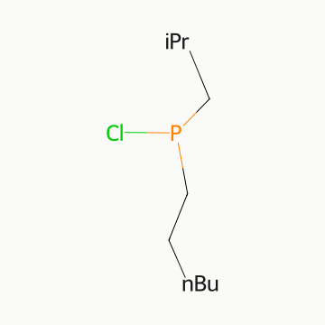 CCCCCCP(Cl)CC(C)C